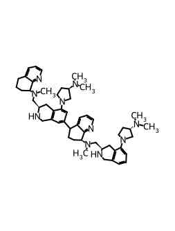 CN(C)[C@@H]1CCN(c2cc(C3CC[C@H](N(C)C[C@H]4Cc5c(cccc5N5CC[C@H](N(C)C)C5)CN4)c4ncccc43)cc3c2C[C@H](CN(C)[C@H]2CCCc4cccnc42)NC3)C1